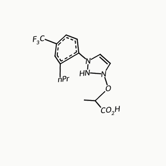 CCCc1cc(C(F)(F)F)ccc1N1C=CN(OC(C)C(=O)O)N1